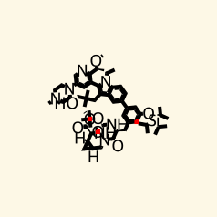 CCn1c(-c2cc(N3CCN(C)CC3)cnc2[C@H](C)OC)c(CC(C)(C)CO)c2cc(-c3cc(C[C@H](NC(=O)OC(C)(C)C)C(=O)N4C[C@@H]5C[C@@H]5[C@@H](C(=O)OC)N4)cc(O[Si](C(C)C)(C(C)C)C(C)C)c3)ccc21